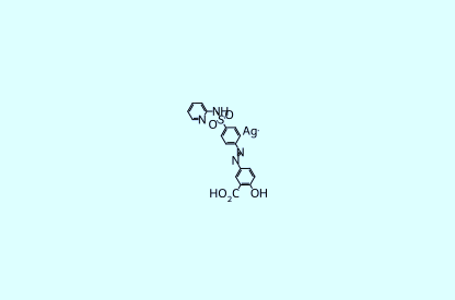 O=C(O)c1cc(N=Nc2ccc(S(=O)(=O)Nc3ccccn3)cc2)ccc1O.[Ag]